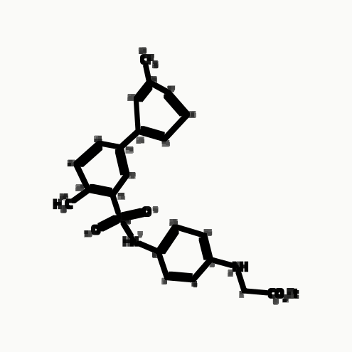 CCOC(=O)CNc1ccc(NS(=O)(=O)c2cc(-c3cccc(C(F)(F)F)c3)ccc2C)cc1